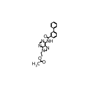 CC(=O)OCCn1cnc2c(NC(=O)c3cccc(-c4ccccc4)c3)ncnc21